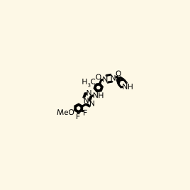 COc1ccc(-c2cnc3c(Nc4ccc(C(=O)N5CCN(C(=O)C6C7CCC6CNC7)CC5)c(C)c4)nccn23)c(F)c1F